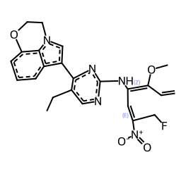 C=C/C(OC)=C(\C=C(/CF)[N+](=O)[O-])Nc1ncc(CC)c(-c2cn3c4c(cccc24)OCC3)n1